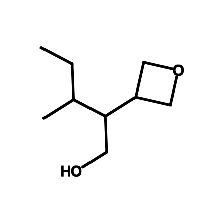 CCC(C)C(CO)C1COC1